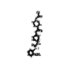 Cc1ccccc1NC(=O)Nc1ccc(CC(=O)N2CCN(CC(=O)O)CC2)cc1